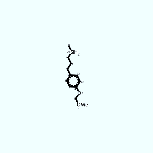 COCOc1ccc(CCC[SiH2]C)cc1